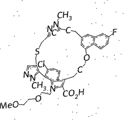 COCCOCCn1c(C(=O)O)c2c3ccc(Cl)c(c31)-c1c(cnn1C)CSCc1cc(n(C)n1)CCc1cc(c3ccc(F)cc3c1)OCCC2